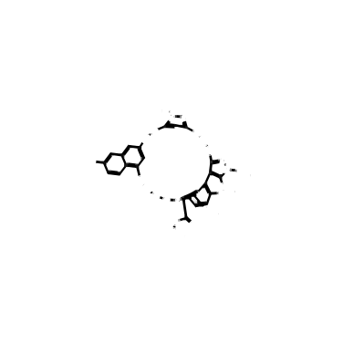 COC(=O)c1c(C)c2c3c(Cl)ccc2n1CCCOc1cc(cc2cc(F)ccc12)CCc1cc(nn1C)COCc1nn(C)c(C)c1-3